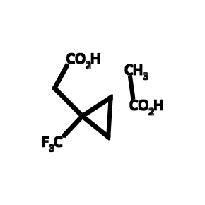 CC(=O)O.O=C(O)CC1(C(F)(F)F)CC1